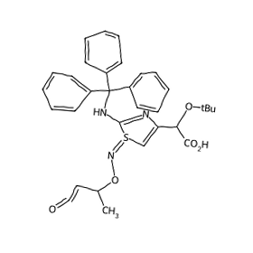 CC(C=C=O)ON=S1C=C(C(OC(C)(C)C)C(=O)O)N=C1NC(c1ccccc1)(c1ccccc1)c1ccccc1